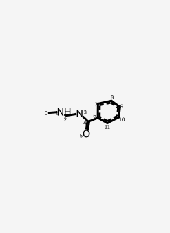 CNC[N]C(=O)c1ccccc1